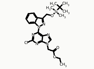 CCOC(=O)Cn1cnc2c(-n3nc(CO[Si](C)(C)C(C)(C)C)c4ccccc43)nc(Cl)nc21